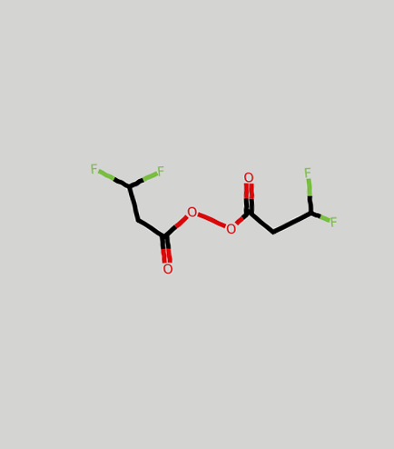 O=C(CC(F)F)OOC(=O)CC(F)F